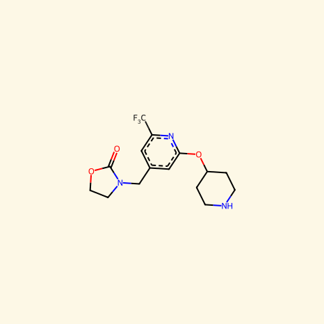 O=C1OCCN1Cc1cc(OC2CCNCC2)nc(C(F)(F)F)c1